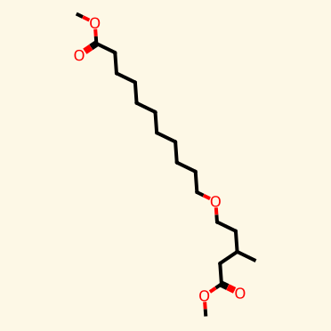 COC(=O)CCCCCCCCCCOCCC(C)CC(=O)OC